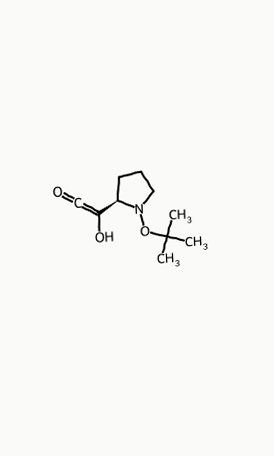 CC(C)(C)ON1CCC[C@@H]1C(O)=C=O